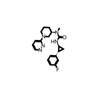 CN(C(=O)N[C@H]1C[C@@H]1c1cccc(F)c1)[C@@H]1CCCN(c2cccnn2)C1